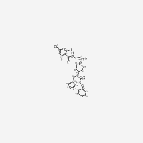 Cc1cc(Cl)nc(Cl)c1C(=O)NCC[C@@H](C)N1CCC(N(Cc2ccsc2)C(=O)NOc2ccncc2)CC1